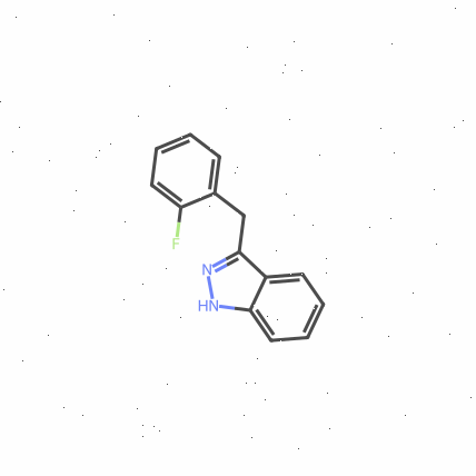 Fc1ccccc1Cc1n[nH]c2ccccc12